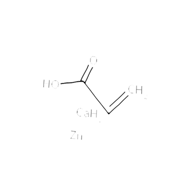 C=CC(=O)O.[CaH2].[Zn]